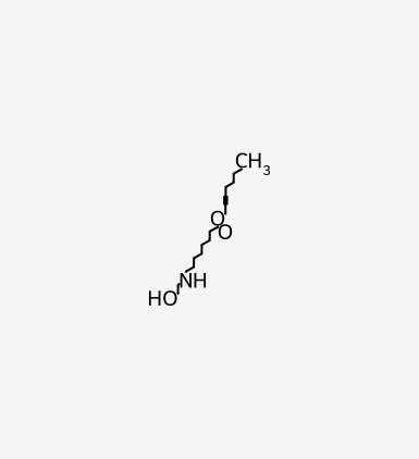 CCCCCC#CCOC(=O)CCCCCCCNCCO